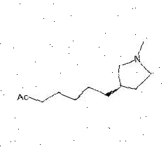 CC(=O)CCCCC[C@@H]1CCN(C)C1